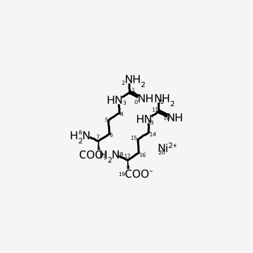 N=C(N)NCCC[C@H](N)C(=O)[O-].N=C(N)NCCC[C@H](N)C(=O)[O-].[Ni+2]